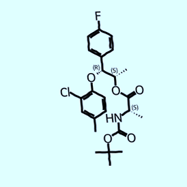 Cc1ccc(O[C@H](c2ccc(F)cc2)[C@H](C)OC(=O)[C@H](C)NC(=O)OC(C)(C)C)c(Cl)c1